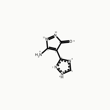 NC1=C(c2nc[nH]n2)C(=O)N=N1